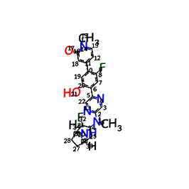 CN(c1cnc(-c2cc(F)c(-c3ccn(C)c(=O)c3)cc2O)cn1)C1C[C@H]2CC[C@H](N2)C1F